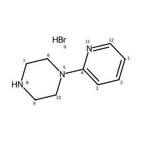 Br.c1ccc(N2CCNCC2)nc1